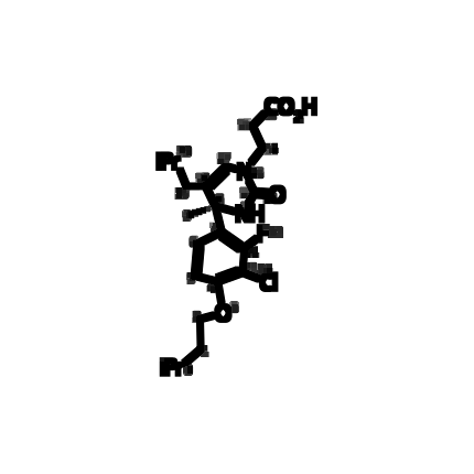 CC(C)CCOc1ccc([C@]2(C)NC(=O)N(CCC(=O)O)C=C2CC(C)C)c(F)c1Cl